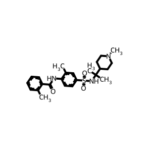 Cc1cc(S(=O)(=O)NC(C)(C)C2CCN(C)CC2)ccc1NC(=O)c1ccccc1C